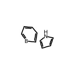 b1ccccc1.c1cc[nH]c1